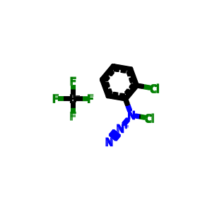 F[B-](F)(F)F.N#[N+]N(Cl)c1ccccc1Cl